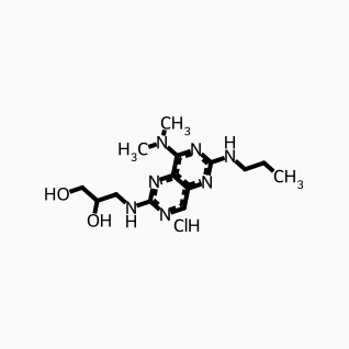 CCCNc1nc(N(C)C)c2nc(NCC(O)CO)ncc2n1.Cl